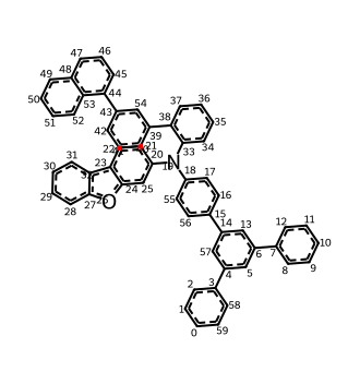 c1ccc(-c2cc(-c3ccccc3)cc(-c3ccc(N(c4ccc5c(c4)oc4ccccc45)c4ccccc4-c4cccc(-c5cccc6ccccc56)c4)cc3)c2)cc1